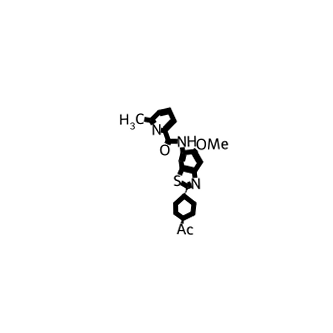 COc1cc2nc([C@H]3CC[C@H](C(C)=O)CC3)sc2cc1NC(=O)c1cccc(C)n1